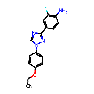 N#CCOc1ccc(-n2cnc(-c3ccc(N)c(F)c3)n2)cc1